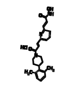 Cc1cccc(C)c1C1CCN(C(=O)C=Cc2cccc(C=CC(=O)NO)n2)CC1.Cl